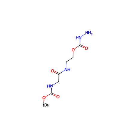 CC(C)(C)OC(=O)NCC(=O)NCCOC(=O)NN